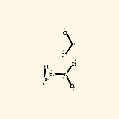 CCN(CC)CC.CCO.ClCCl